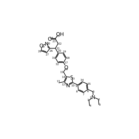 CCN(CC)Cc1ccc(-c2nc(C)c(COc3ccc(C(CC(=O)O)c4ccon4)cc3)s2)cc1